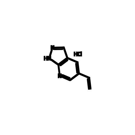 C=Cc1cnc2[nH]ncc2c1.Cl